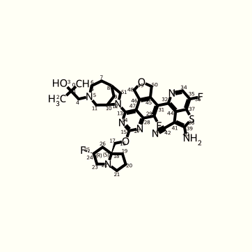 CC(C)(O)CN1CCC2CC(C1)N(c1nc(OC[C@@]34CCCN3C[C@H](F)C4)nc3c(F)c(-c4ncc(F)c5sc(N)c(C#N)c45)c4c(c13)COC4)C2